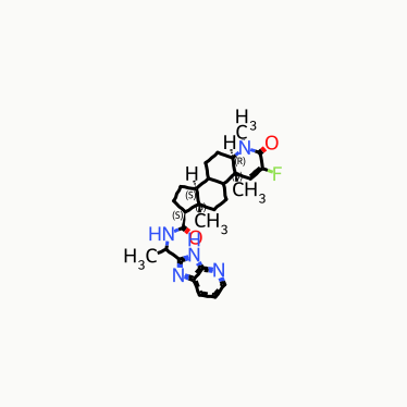 CC(NC(=O)[C@H]1CC[C@H]2C3CC[C@H]4N(C)C(=O)C(F)=C[C@]4(C)C3CC[C@]12C)c1nc2cccnc2[nH]1